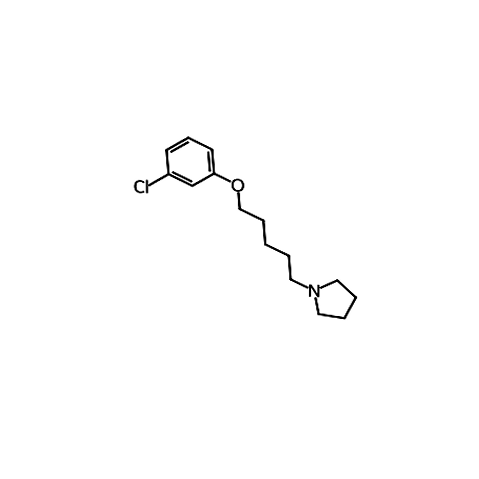 Clc1cccc(OCCCCCN2CCCC2)c1